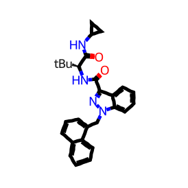 CC(C)(C)[C@H](NC(=O)c1nn(Cc2cccc3ccccc23)c2ccccc12)C(=O)NC1CC1